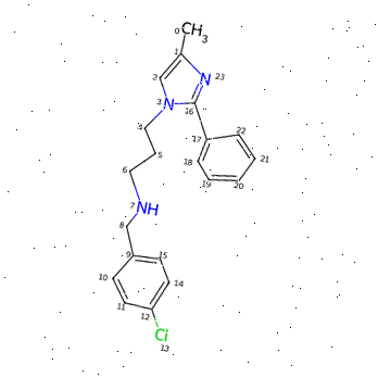 Cc1cn(CCCNCc2ccc(Cl)cc2)c(-c2ccccc2)n1